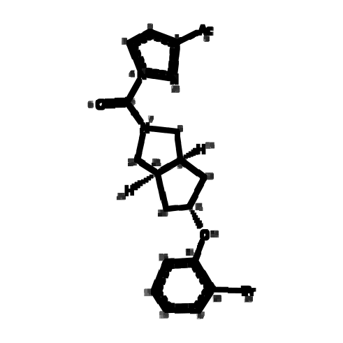 CC(=O)c1ccn(C(=O)N2C[C@H]3C[C@H](Oc4ccccc4C(C)C)C[C@H]3C2)n1